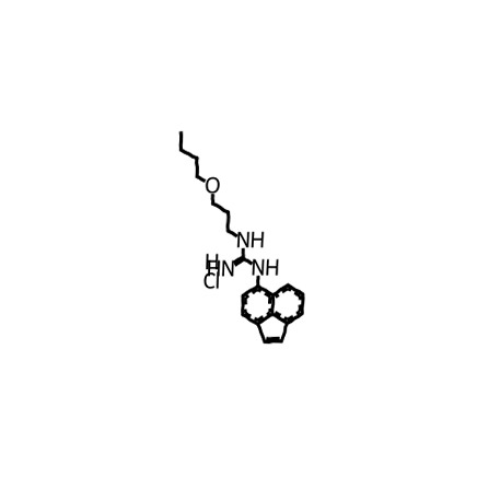 CCCCOCCCNC(=N)Nc1ccc2c3c(cccc13)C=C2.Cl